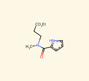 CCOC(=O)CCN(C)C(=O)c1ccc[nH]1